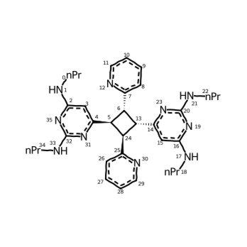 CCCNc1cc([C@H]2[C@H](c3ccccn3)[C@H](c3cc(NCCC)nc(NCCC)n3)[C@H]2c2ccccn2)nc(NCCC)n1